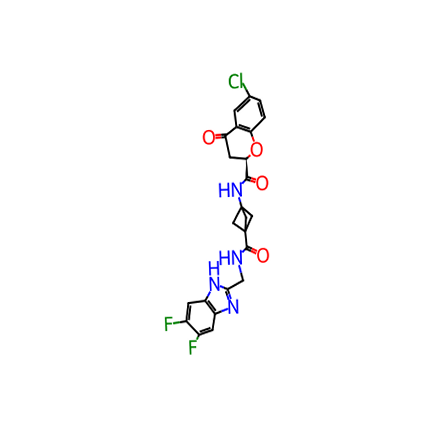 O=C1C[C@H](C(=O)NC23CC(C(=O)NCc4nc5cc(F)c(F)cc5[nH]4)(C2)C3)Oc2ccc(Cl)cc21